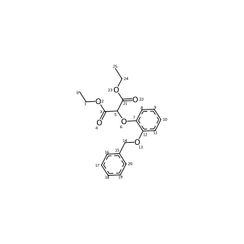 CCOC(=O)C(Oc1ccccc1OCc1ccccc1)C(=O)OCC